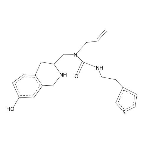 C=CCN(CC1Cc2ccc(O)cc2CN1)C(=O)NCCc1ccsc1